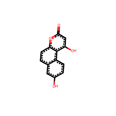 O=c1cc(O)c2c(ccc3cc(O)ccc32)o1